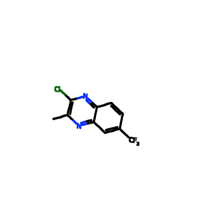 Cc1nc2cc(C(F)(F)F)ccc2nc1Cl